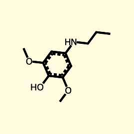 CCCNc1cc(OC)c(O)c(OC)c1